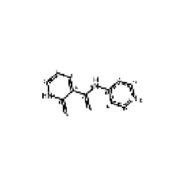 C=C1NC=CC=C1C(=C)Nc1ccncc1